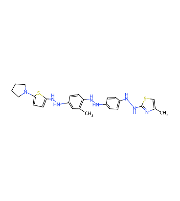 Cc1csc(NNc2ccc(NNc3ccc(NNc4ccc(N5CCCC5)s4)cc3C)cc2)n1